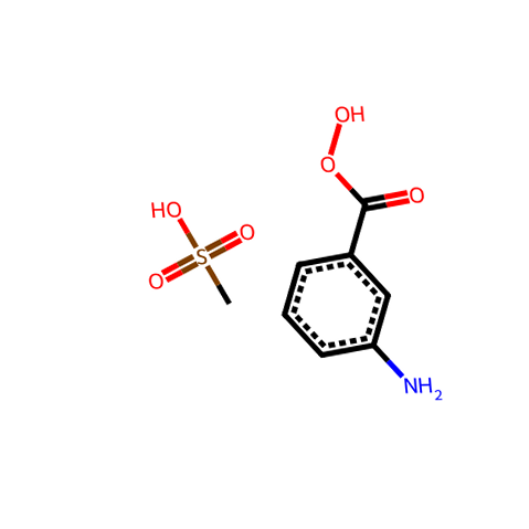 CS(=O)(=O)O.Nc1cccc(C(=O)OO)c1